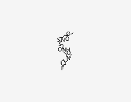 CCOC(=O)Cc1csc(SCC(=O)NCC2CN(Cc3cccc(F)c3)CCO2)n1